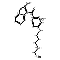 CCCc1oc2ccccc2c1C(=O)c1ccc(OCCCNCC(C)(C)C)cc1.Cl